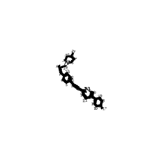 CC(=Cc1ccc(C#Cc2ccc(C3=CCC(C)CC3)cn2)cc1)CN1CCC(C)CC1